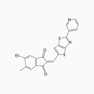 CCc1cc2c(cc1C)C(=O)/C(=C/c1cc3sc(-c4cccnc4)nc3s1)C2=O